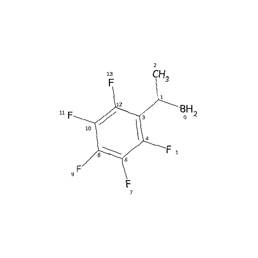 BC(C)c1c(F)c(F)c(F)c(F)c1F